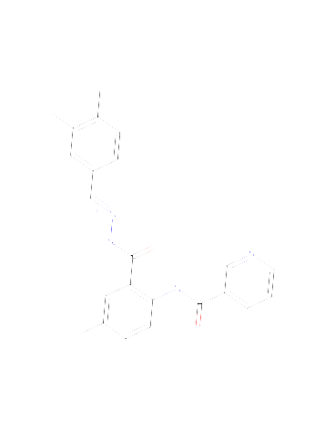 Cc1ccc(/C=N/NC(=O)c2cc(Cl)ccc2NC(=O)c2cccnc2)cc1C